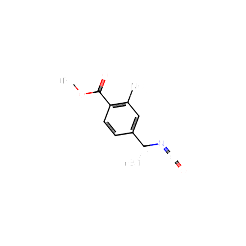 CCCC[C@@H](N=C=O)c1ccc(C(=O)OC(C)(C)C)c([N+](=O)[O-])c1